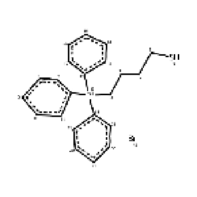 SCCCC[P+](c1ccccc1)(c1ccccc1)c1ccccc1.[Br-]